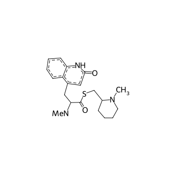 CNC(Cc1cc(=O)[nH]c2ccccc12)C(=O)SCC1CCCCN1C